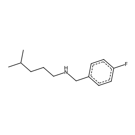 CC(C)CCCNCc1ccc(F)cc1